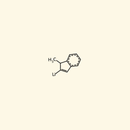 [Li][C]1=Cc2ccccc2C1C